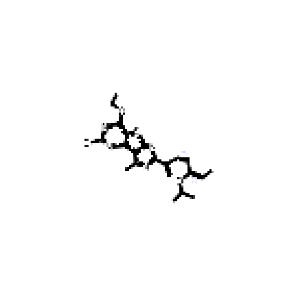 C=C(/C=C\C(=C/C)OC(C)C)c1nc(C)c2c(n1)sc1c(OCC)nc(Cl)nc12